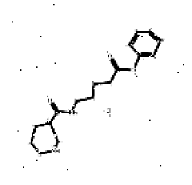 Cl.O=C(CCCCNC(=O)C1CCCNC1)Oc1ccccc1